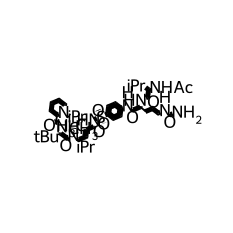 CC(=O)N[C@H](C(=O)N[C@@H](CCCNC(N)=O)C(=O)Nc1ccc(S(=O)(=O)NC(=O)/C(C)=C/[C@H](C(C)C)N(C)C(=O)[C@@H](NC(=O)[C@H]2CCCCN2C(C)C)C(C)(C)C)cc1)C(C)C